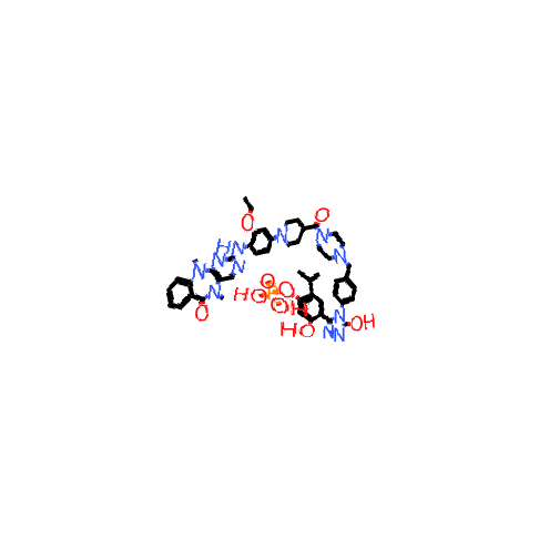 CCOc1cc(N2CCC(C(=O)N3CCN(Cc4ccc(-n5c(O)nnc5-c5cc(C(C)C)c(OP(=O)(O)O)cc5O)cc4)CC3)CC2)ccc1Nc1ncc2c(n1)N(C)c1ccccc1C(=O)N2C